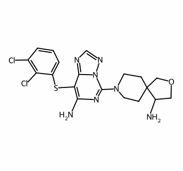 Nc1nc(N2CCC3(CC2)COCC3N)n2ncnc2c1Sc1cccc(Cl)c1Cl